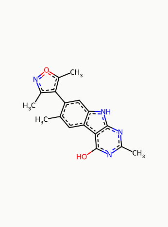 Cc1nc(O)c2c(n1)[nH]c1cc(-c3c(C)noc3C)c(C)cc12